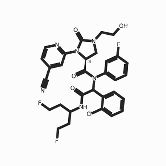 N#Cc1ccnc(N2C(=O)N(CCO)C[C@H]2C(=O)N(c2cccc(F)c2)C(C(=O)NC(CCF)CCF)c2ccccc2Cl)c1